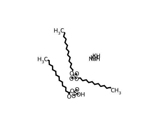 CCCCCCCCCCCCCC(=O)OS(=O)(=O)O.CCCCCCCCCCCCCCOS(=O)(=O)OCCCCCCCCCCCC.[KH].[KH].[NaH]